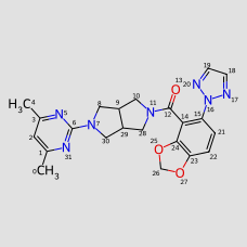 Cc1cc(C)nc(N2CC3CN(C(=O)c4c(-n5nccn5)ccc5c4OCO5)CC3C2)n1